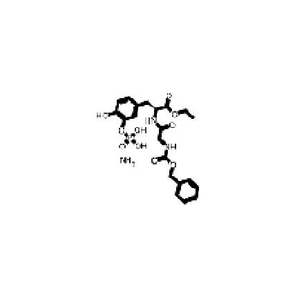 CCOC(=O)[C@H](Cc1ccc(O)c(OP(=O)(O)O)c1)NC(=O)CNC(=O)OCc1ccccc1.N